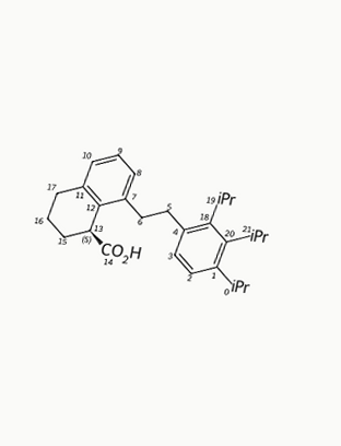 CC(C)c1ccc(CCc2cccc3c2[C@@H](C(=O)O)CCC3)c(C(C)C)c1C(C)C